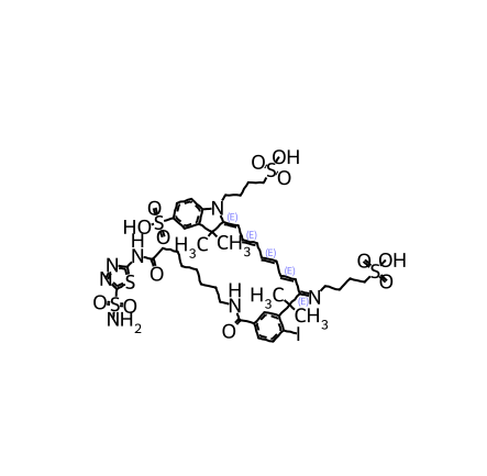 CC(C)(C(/C=C/C=C/C=C/C=C1/N(CCCCS(=O)(=O)O)c2ccc(S(=O)(=O)O)cc2C1(C)C)=N/CCCCS(=O)(=O)O)c1cc(C(=O)NCCCCCCCC(=O)Nc2nnc(S(N)(=O)=O)s2)ccc1I